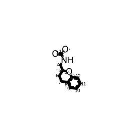 [O]C(=O)NCC1CCc2ccccc2O1